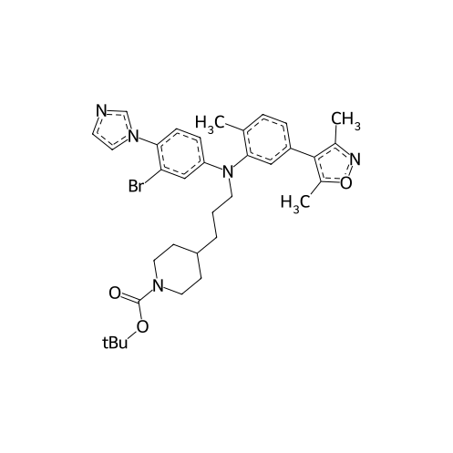 Cc1ccc(-c2c(C)noc2C)cc1N(CCCC1CCN(C(=O)OC(C)(C)C)CC1)c1ccc(-n2ccnc2)c(Br)c1